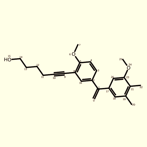 C=C(c1ccc(OC)c(C#CCCCCO)c1)c1cc(C)c(C)c(OC)c1